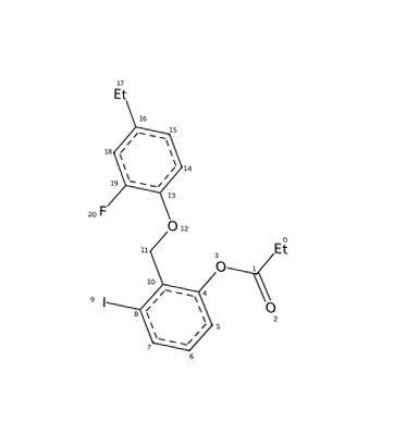 CCC(=O)Oc1cccc(I)c1COc1ccc(CC)cc1F